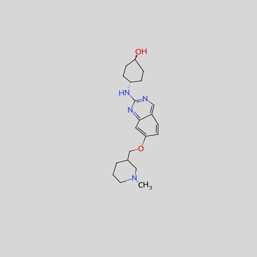 CN1CCCC(COc2ccc3cnc(N[C@H]4CC[C@H](O)CC4)nc3c2)C1